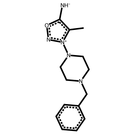 Cc1c([NH-])on[n+]1N1CCN(Cc2ccccc2)CC1